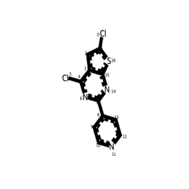 Clc1cc2c(Cl)nc(-c3ccncc3)nc2s1